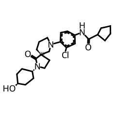 O=C(Nc1ccc(N2CCC[C@]3(CCN([C@H]4CC[C@H](O)CC4)C3=O)C2)c(Cl)c1)C1CCCC1